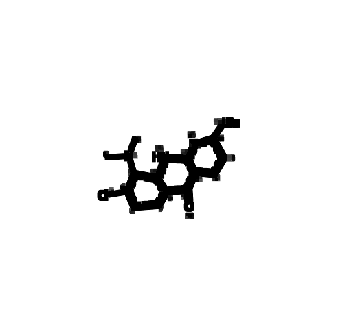 CN(C)c1c(Cl)ccc2c(=O)c3ccc(C(C)(C)C)nc3[nH]c12